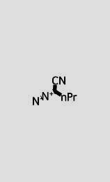 CCCC(C#N)=[N+]=[N-]